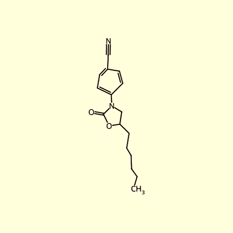 CCCCCCC1CN(c2ccc(C#N)cc2)C(=O)O1